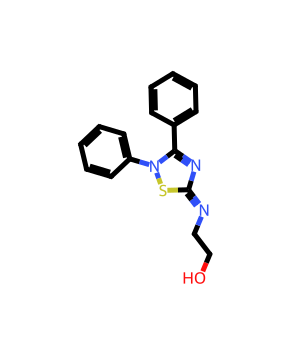 OCCN=c1nc(-c2ccccc2)n(-c2ccccc2)s1